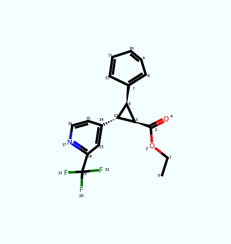 CCOC(=O)[C@@H]1[C@H](c2ccccc2)[C@H]1c1ccnc(C(F)(F)F)c1